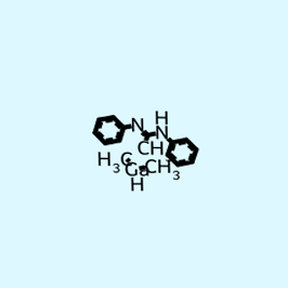 C/C(=N\c1ccccc1)Nc1ccccc1.[CH3][GaH][CH3]